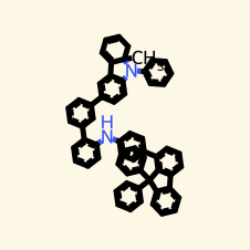 CC12CC=CC=C1c1cc(-c3cccc(-c4ccccc4Nc4ccc(-c5cccc6c5C(c5ccccc5)(c5ccccc5)c5ccccc5-6)cc4)c3)ccc1N2c1ccccc1